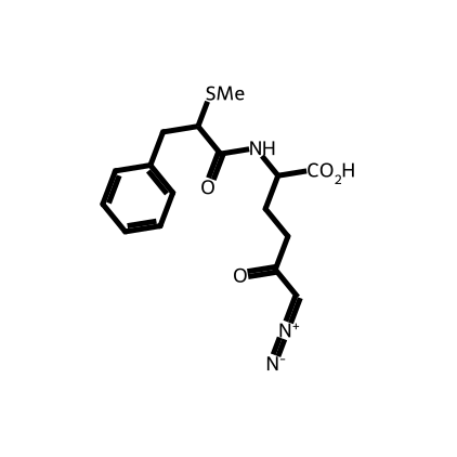 CSC(Cc1ccccc1)C(=O)NC(CCC(=O)C=[N+]=[N-])C(=O)O